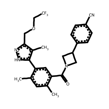 Cc1cc(C)c(-c2[nH]nc(COCC(F)(F)F)c2C)cc1C(=O)N1CC(c2ccc(C#N)cc2)C1